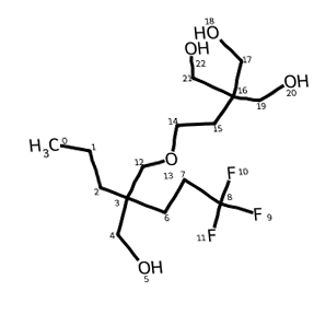 CCCC(CO)(CCC(F)(F)F)COCCC(CO)(CO)CO